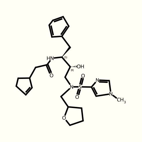 Cn1cnc(S(=O)(=O)N(CC2CCCO2)C[C@@H](O)[C@H](Cc2ccccc2)NC(=O)CC2C=CCC2)c1